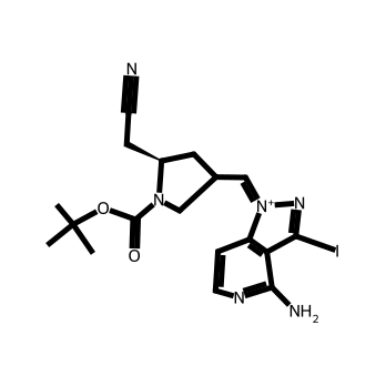 CC(C)(C)OC(=O)N1CC(/C=[N+]2/N=C(I)c3c2ccnc3N)C[C@@H]1CC#N